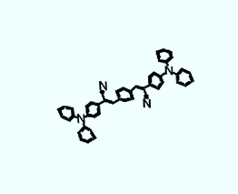 N#CC(=Cc1ccc(C=C(C#N)c2ccc(N(c3ccccc3)c3ccccc3)cc2)cc1)c1ccc(N(c2ccccc2)c2ccccc2)cc1